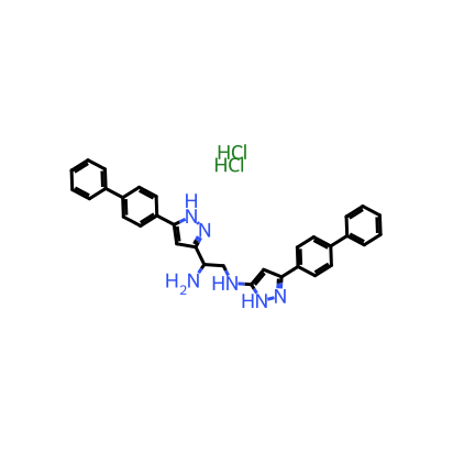 Cl.Cl.NC(CNc1cc(-c2ccc(-c3ccccc3)cc2)n[nH]1)c1cc(-c2ccc(-c3ccccc3)cc2)[nH]n1